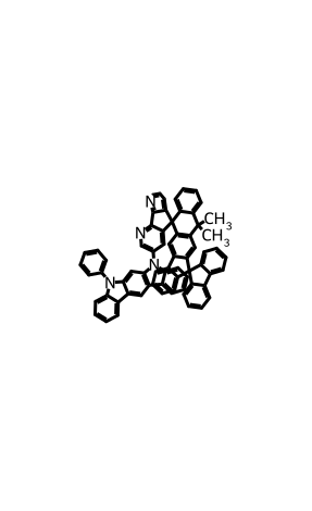 CC1(C)c2ccccc2C2(c3cc4c(cc31)C1(c3ccccc3-c3ccccc31)c1ccccc1-4)c1cccnc1-c1ncc(-n3c4ccccc4c4cc5c6ccccc6n(-c6ccccc6)c5cc43)cc12